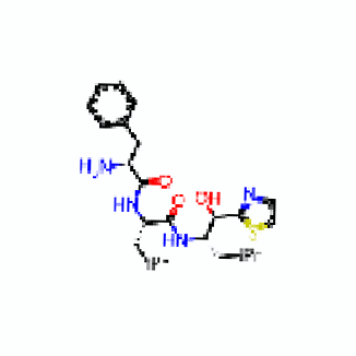 CC(C)C[C@H](NC(=O)[C@@H](N)Cc1ccccc1)C(=O)N[C@@H](CC(C)C)[C@@H](O)c1nccs1